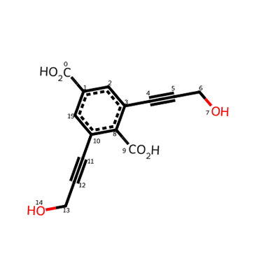 O=C(O)c1cc(C#CCO)c(C(=O)O)c(C#CCO)c1